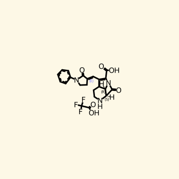 O=C(O)C(F)(F)F.O=C(O)C1=C(/C=C2\CCN(c3ccccc3)C2=O)C2CCN[C@@H]3C(=O)N1[C@H]23